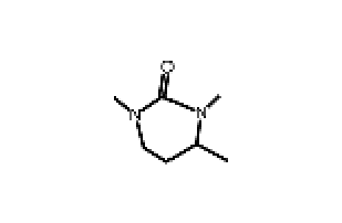 CC1CCN(C)C(=O)N1C